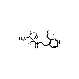 [CH2]Cc1cnccc1CCNS(=O)(=O)N(C)C